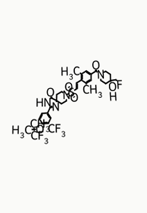 Cc1cc(C(=O)N2CCC(O)(CF)CC2)cc(C)c1C=CS(=O)(=O)N1CCC2(CC1)N=C(c1ccc(OC(C)(C)C(F)(F)F)c(C(F)(F)F)c1)NC2=O